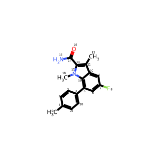 Cc1ccc(-c2cc(F)cc3c(C)c(C(N)=O)n(C)c23)cc1